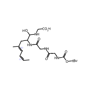 C/C=C\C=C(/C)CC(NC(=O)CNC(=O)CNC(=O)OC(C)(C)C)C(O)NCC(=O)O